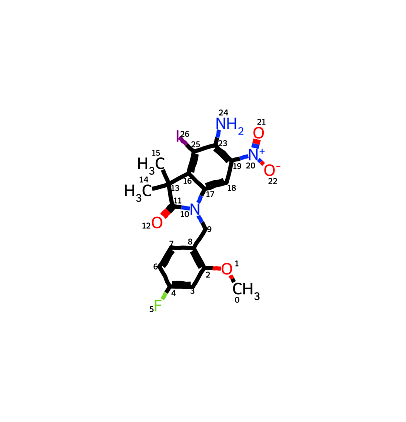 COc1cc(F)ccc1CN1C(=O)C(C)(C)c2c1cc([N+](=O)[O-])c(N)c2I